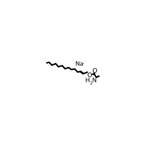 CCCCCCCCCCCC=CCOC(=O)C(C)N.[Na]